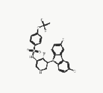 O=S(=O)(N[C@@H]1CNC[C@H](n2c3ccc(Cl)cc3c3cc(Cl)ccc32)[C@H]1O)c1ccc(OC(F)(F)F)cc1